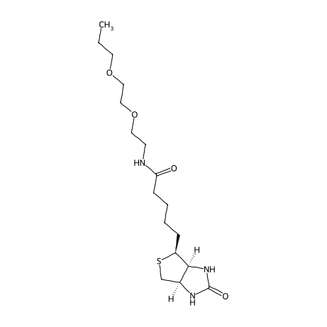 CCCOCCOCCNC(=O)CCCC[C@@H]1SC[C@@H]2NC(=O)N[C@@H]21